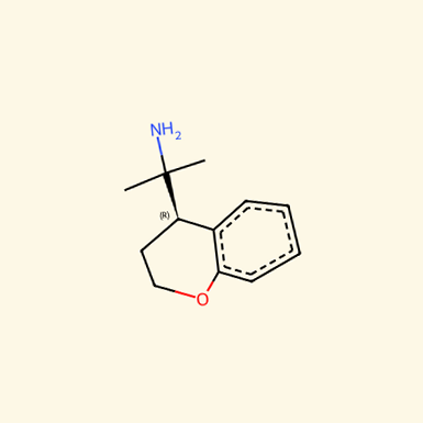 CC(C)(N)[C@@H]1CCOc2ccccc21